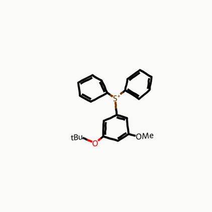 COc1cc(OC(C)(C)C)cc([S+](c2ccccc2)c2ccccc2)c1